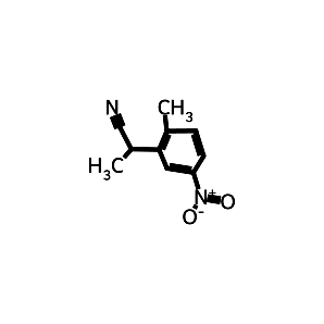 Cc1ccc([N+](=O)[O-])cc1C(C)C#N